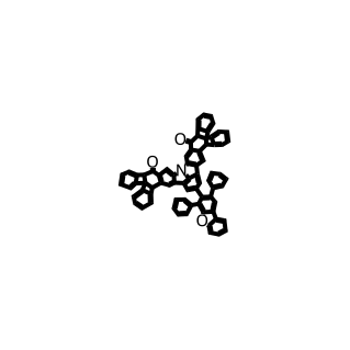 O=C1c2cc3c(cc2C2c4ccccc4C24c2ccccc2C14)c1cc(-c2c(-c4ccccc4)cc4c(oc5ccccc54)c2-c2ccccc2)cc2c4cc5c(cc4n3c12)C(=O)C1c2ccccc2C12c1ccccc1C52